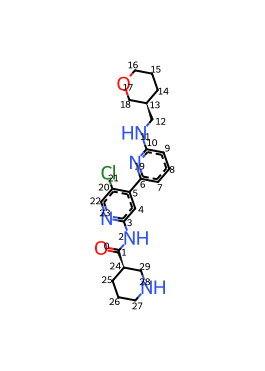 O=C(Nc1cc(-c2cccc(NC[C@@H]3CCCOC3)n2)c(Cl)cn1)[C@@H]1CCCNC1